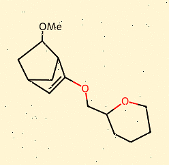 COC1CC2C=C(OCC3CCCCO3)C1C2